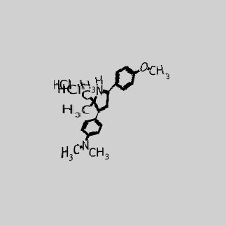 COc1ccc([C@H]2C[C@@H](c3ccc(N(C)C)cc3)C(C)(C)N2)cc1.Cl.Cl